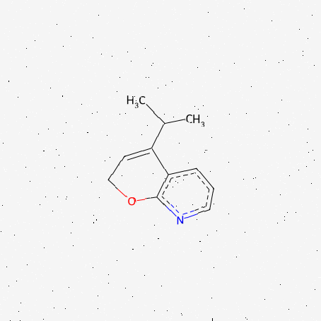 CC(C)C1=CCOc2ncccc21